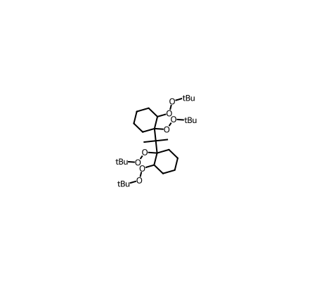 CC(C)(C)OOC1CCCCC1(OOC(C)(C)C)C(C)(C)C1(OOC(C)(C)C)CCCCC1OOC(C)(C)C